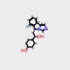 OC1CCC([C@H](O)C[C@H]2c3c(F)cccc3-c3cncn32)CC1